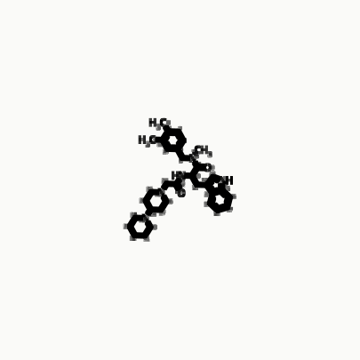 Cc1ccc(CN(C)C(=O)C(Cc2c[nH]c3ccccc23)NC(=O)CN2CCC(N3CCCCC3)CC2)cc1C